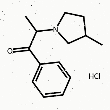 CC1CCN(C(C)C(=O)c2ccccc2)C1.Cl